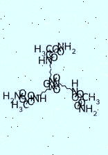 CC(COC(N)=O)OC(=O)NCCCCCCn1c(=O)n(CCCCCCNC(=O)OC(C)COC(N)=O)c(=O)n(CCCCCCNC(=O)OC(C)COC(N)=O)c1=O